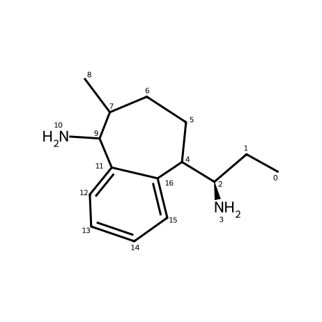 CC[C@@H](N)C1CCC(C)C(N)c2ccccc21